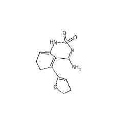 NC1=NS(=O)(=O)NC2=CCCC(C3=CCCO3)=C21